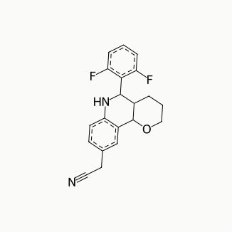 N#CCc1ccc2c(c1)C1OCCCC1C(c1c(F)cccc1F)N2